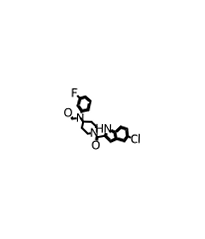 O=CN(c1cccc(F)c1)C1CCN(C(=O)c2cc3cc(Cl)ccc3[nH]2)CC1